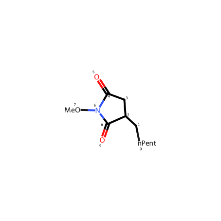 CCCCCCC1CC(=O)N(OC)C1=O